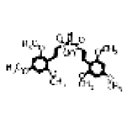 COc1cc(OC)c(C=CS(=O)(=O)NS(=O)(=O)C=Cc2c(OC)cc(OC)cc2OC)c(OC)c1